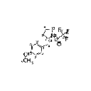 COc1ccc(C[C@@H]2CCCN2C(=O)C(F)(F)F)cc1